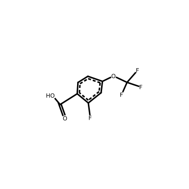 O=C(O)c1ccc(OC(F)(F)F)cc1F